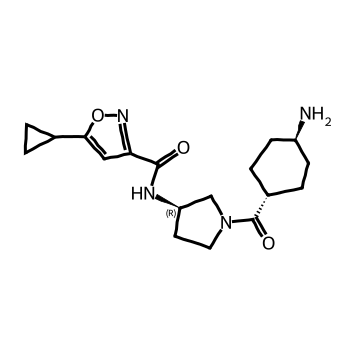 N[C@H]1CC[C@H](C(=O)N2CC[C@@H](NC(=O)c3cc(C4CC4)on3)C2)CC1